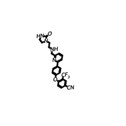 N#Cc1ccc(Oc2ccc(-c3cccc(CNCCN4CCNC4=O)n3)cc2)c(C(F)(F)F)c1